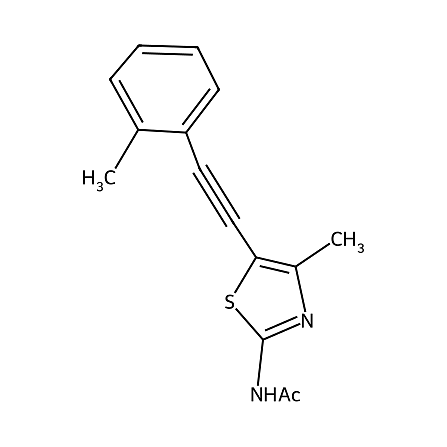 CC(=O)Nc1nc(C)c(C#Cc2ccccc2C)s1